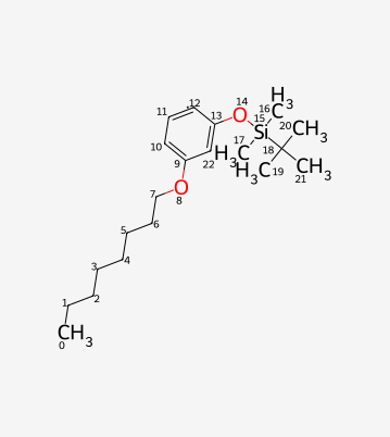 CCCCCCCCOc1cc[c]c(O[Si](C)(C)C(C)(C)C)c1